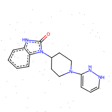 O=c1[nH]c2ccccc2n1C1CCN(C2=CC=[C]NN2)CC1